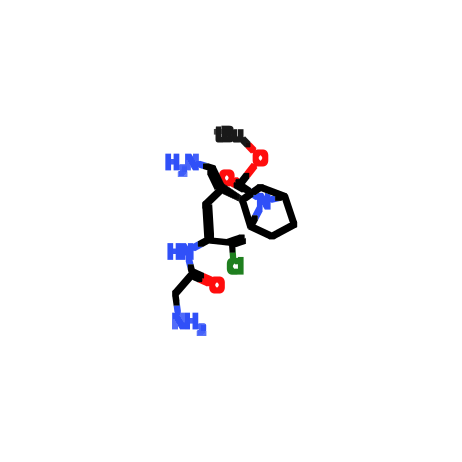 C=C(Cl)/C(=C\C(=C/N)[C@H]1CC2CCC1N2C(=O)OC(C)(C)C)NC(=O)CN